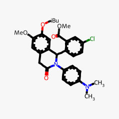 CCC(C)Oc1cc2c(cc1OC)CC(=O)N(c1ccc(N(C)C)cc1)C2c1ccc(Cl)cc1C(=O)OC